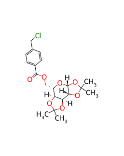 CC1(C)O[C@H]2[C@@H](O1)[C@H](COC(=O)c1ccc(CCl)cc1)O[C@@H]1OC(C)(C)O[C@@H]12